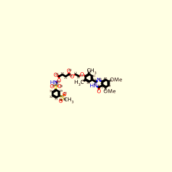 COc1cc(OC)c2c(=O)[nH]c(-c3cc(C)c(OCCOC(=O)CCC(=O)ONS(=O)(=O)c4cccc(S(C)(=O)=O)c4)c(C)c3)nc2c1